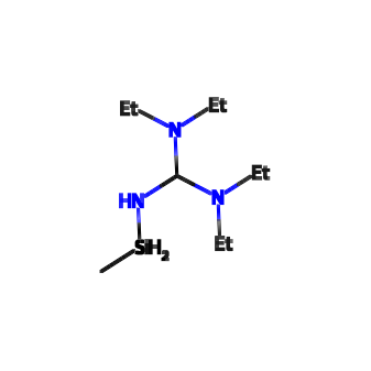 CCN(CC)C(N[SiH2]C)N(CC)CC